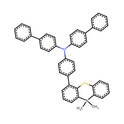 C[Si]1(C)c2ccccc2Sc2c(-c3ccc(N(c4ccc(-c5ccccc5)cc4)c4ccc(-c5ccccc5)cc4)cc3)cccc21